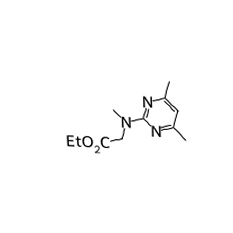 CCOC(=O)CN(C)c1nc(C)cc(C)n1